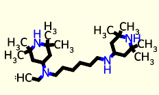 [CH]CN(CCCCCCNC1CC(C)(C)NC(C)(C)C1)C1CC(C)(C)NC(C)(C)C1